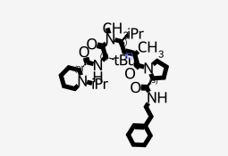 C/C(=C\[C@H](C(C)C)N(C)C(=O)[C@@H](NC(=O)[C@H]1CCCCN1C(C)C)C(C)(C)C)C(=O)N1CCC[C@H]1C(=O)NCCC1=CCCCC1